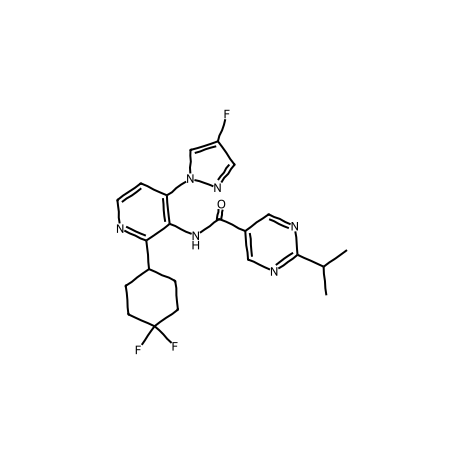 CC(C)c1ncc(C(=O)Nc2c(-n3cc(F)cn3)ccnc2C2CCC(F)(F)CC2)cn1